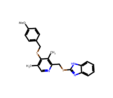 COc1ccc(CSc2c(C)cnc(CSc3nc4ccccc4[nH]3)c2C)cc1